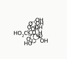 O=C1/C2=C/c3cc(CC(CCOC4OCC(CO)C(O)C(O)C4O)(C(=O)O)C(=O)O)c(=O)c4c(O)ccc(c4c3)C1C(CO)C2